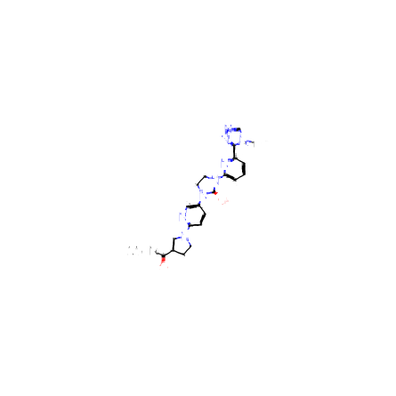 CNC(=O)C1CCN(c2ccc(N3CCN(c4cccc(-c5nncn5C(C)C)n4)C3=O)cn2)C1